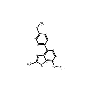 COc1ccc(-c2ccc(OC)c3sc(C)cc23)cc1